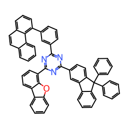 c1ccc(C2(c3ccccc3)c3ccccc3-c3cc(-c4nc(-c5cccc(-c6cccc7ccc8ccccc8c67)c5)nc(-c5cccc6c5oc5ccccc56)n4)ccc32)cc1